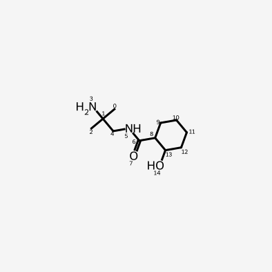 CC(C)(N)CNC(=O)C1CCCCC1O